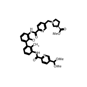 COC(=O)[C@@H]1CCN(Cc2ccc(C(=O)Nc3cccc(-c4cccc(NC(=O)c5ccc(C(OC)OC)cn5)c4C)c3Cl)nc2)C1